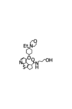 CC[C@]1(N2CCOCC2)CC[C@H](Oc2ccnc3sc4c(c23)[C@@H](C(=O)NCCCO)CC4)CC1